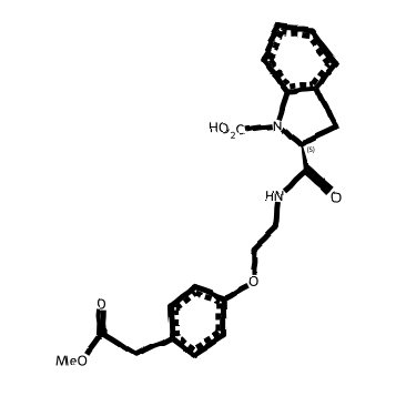 COC(=O)Cc1ccc(OCCNC(=O)[C@@H]2Cc3ccccc3N2C(=O)O)cc1